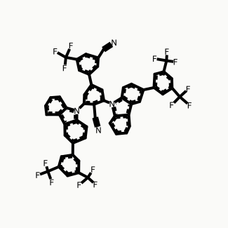 N#Cc1cc(-c2cc(-n3c4ccccc4c4cc(-c5cc(C(F)(F)F)cc(C(F)(F)F)c5)ccc43)c(C#N)c(-n3c4ccccc4c4cc(-c5cc(C(F)(F)F)cc(C(F)(F)F)c5)ccc43)c2)cc(C(F)(F)F)c1